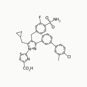 Cc1cc(-c2cccc(-c3nn(-c4nc(C(=O)O)cs4)c(CC4CC4)c3Cc3ccc(S(N)(=O)=O)c(F)c3)c2)ccc1Cl